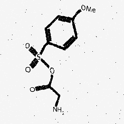 COc1ccc(S(=O)(=O)OC(=O)CN)cc1